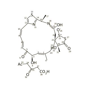 C/C1=C\[C@@H](O)C(=O)/C=C/C=C\c2csc(n2)[C@@H](C)N=C(O)C[C@@]2(CC1)[S+]([O-])SC(=O)[C@]2(C)O.CC(=O)CC(=O)CC(=O)O